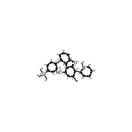 Cc1cc(C#N)c2c(oc3cccc(-c4ccc([Si](C)(C)C)cc4)c32)c1-c1cccc[n+]1C